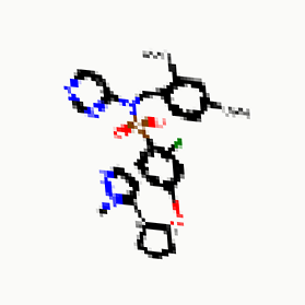 COc1ccc(CN(c2ccncn2)S(=O)(=O)c2ccc(O[C@@H]3CCC[C@H]3c3ccnn3C)cc2F)c(OC)c1